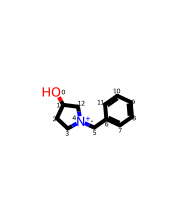 OC1CC[N+](Cc2ccccc2)C1